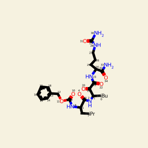 CCC(C)C(NC(=O)C(CC(C)C)NC(=O)OCc1ccccc1)C(=O)C(=O)NC(CCCNC(N)=O)C(N)=O